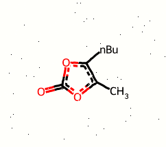 CCCCc1oc(=O)oc1C